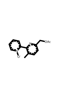 CC(=O)OCc1ccc(C)c(-c2cccc[n+]2[O-])n1